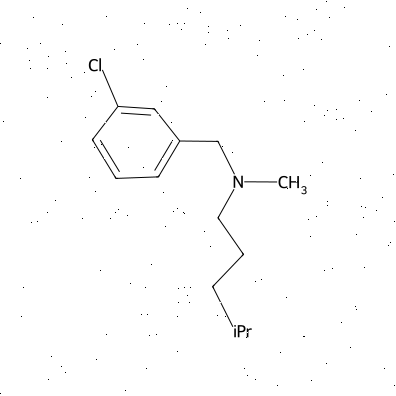 CC(C)CCCN(C)Cc1cccc(Cl)c1